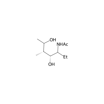 CCC(NC(C)=O)[C@H](O)[C@H](C)C(C)O